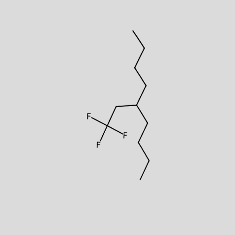 CCCCC(CCCC)CC(F)(F)F